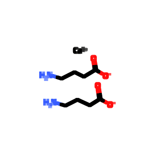 NCCCC(=O)[O-].NCCCC(=O)[O-].[Ca+2]